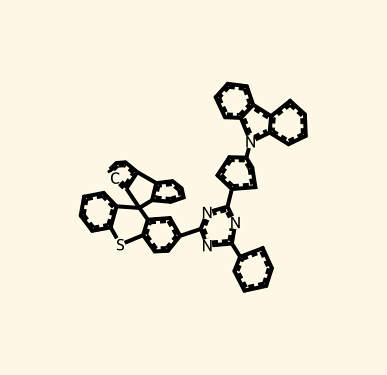 c1ccc(-c2nc(-c3ccc(-n4c5ccccc5c5ccccc54)cc3)nc(-c3ccc4c(c3)C3(c5ccccc5S4)c4ccccc4-c4ccccc43)n2)cc1